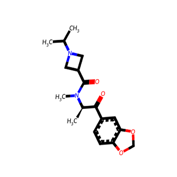 CC(C)N1CC(C(=O)N(C)[C@H](C)C(=O)c2ccc3c(c2)OCO3)C1